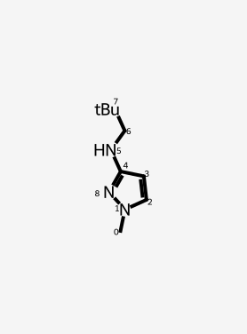 Cn1ccc(NCC(C)(C)C)n1